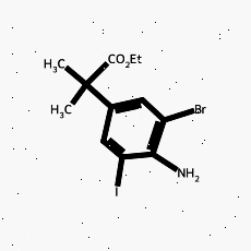 CCOC(=O)C(C)(C)c1cc(Br)c(N)c(I)c1